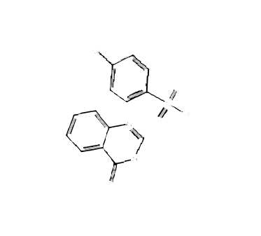 CCCCc1ccc(S(N)(=O)=O)cc1.O=c1[nH]cnc2ccccc12